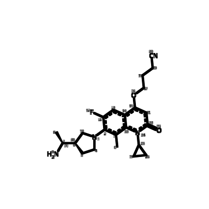 Cc1c(N2CC[C@@H]([C@H](C)N)C2)c(F)cc2c(OCCCC#N)cc(=O)n(C3CC3)c12